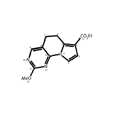 CCOC(=O)c1ccn2c1CCc1cnc(OC)nc1-2